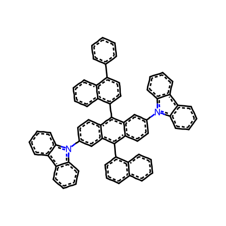 c1ccc(-c2ccc(-c3c4ccc(-n5c6ccccc6c6ccccc65)cc4c(-c4cccc5ccccc45)c4ccc(-n5c6ccccc6c6ccccc65)cc34)c3ccccc23)cc1